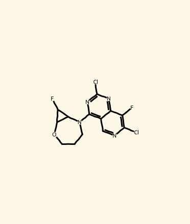 Fc1c(Cl)ncc2c(N3CCCOC4C(F)C43)nc(Cl)nc12